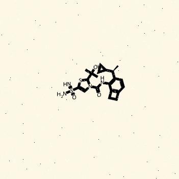 C[C@@H](c1ccc2c(c1NC(=O)N1C=C(S(=N)(N)=O)SC1C(C)(C)O)CC2)C1CC1